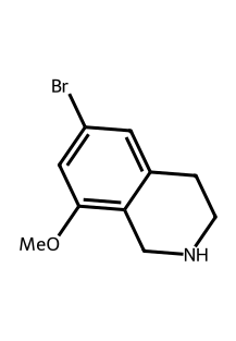 COc1cc(Br)cc2c1CNCC2